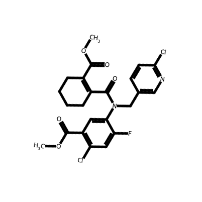 COC(=O)C1=C(C(=O)N(Cc2ccc(Cl)nc2)c2cc(C(=O)OC)c(Cl)cc2F)CCCC1